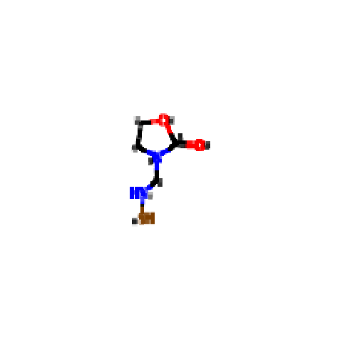 O=C1OCCN1CNS